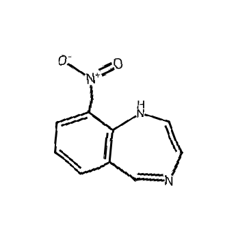 O=[N+]([O-])c1cccc2c1NC=CN=C2